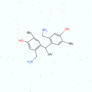 CCCC(c1cc(C(C)(C)C)c(O)cc1CN)c1cc(C(C)(C)C)c(O)cc1CN